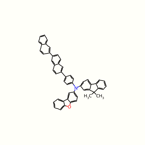 CC1(C)c2ccccc2-c2ccc(N(c3ccc(-c4ccc5cc(-c6ccc7ccccc7c6)ccc5c4)cc3)c3ccc4oc5ccccc5c4c3)cc21